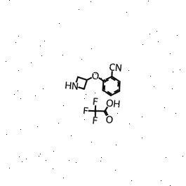 N#Cc1ccccc1OC1CNC1.O=C(O)C(F)(F)F